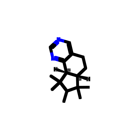 CC1C(C)(C)[C@H]2CCc3cncnc3[C@@H]2C1(C)C